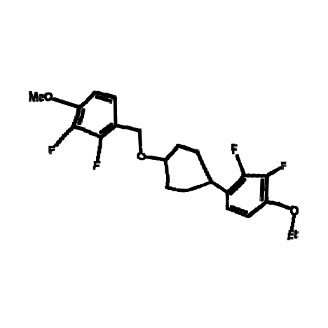 CCOc1ccc(C2CCC(OCc3ccc(OC)c(F)c3F)CC2)c(F)c1F